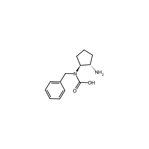 N[C@H]1CCC[C@@H]1N(Cc1ccccc1)C(=O)O